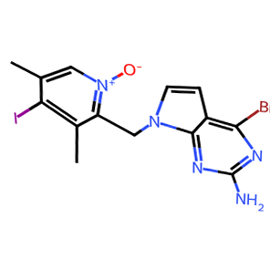 Cc1c[n+]([O-])c(Cn2ccc3c(Br)nc(N)nc32)c(C)c1I